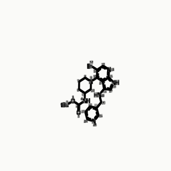 CC(C)(C)OC(=O)NC1CCCN(c2c(Br)cnc3[nH]cc(NCc4cccnc4)c23)C1